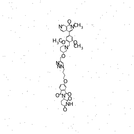 COc1cc(-c2cn(C)c(=O)c3cnccc23)cc(OC)c1CN1CCCC(OCc2cn(CCCCOc3ccc4c(c3)C(=O)N(C3CCC(=O)NC3=O)C4=O)nn2)C1